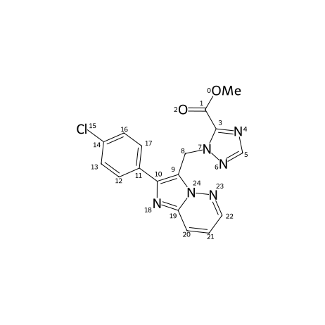 COC(=O)c1ncnn1Cc1c(-c2ccc(Cl)cc2)nc2cccnn12